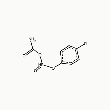 NC(=O)O[PH](=O)Oc1ccc(Cl)cc1